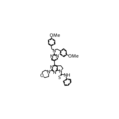 COc1ccc(CN(Cc2ccc(OC)cc2)c2ncc(-c3nc(N4CCOCC4)nc4c3CCN4C(=S)Nc3ccccc3)cn2)cc1